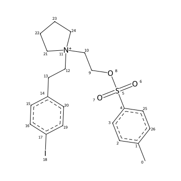 Cc1ccc(S(=O)(=O)OCC[N+]2(CCc3ccc(I)cc3)CCCC2)cc1